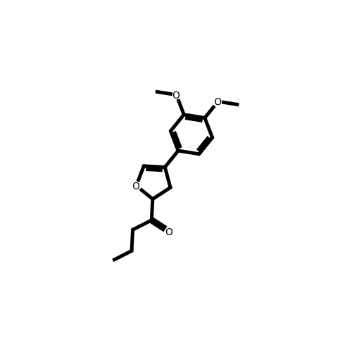 CCCC(=O)C1CC(c2ccc(OC)c(OC)c2)=CO1